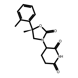 Cc1ccccc1[C@@]1(C)CN(C2CCC(=O)NC2=O)C(=O)O1